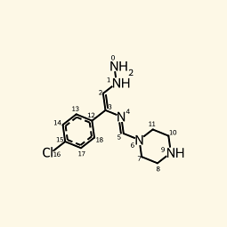 NN/C=C(\N=C\N1CCNCC1)c1ccc(Cl)cc1